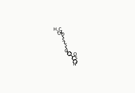 C=CC(=O)OCCSCCSCCOc1ccc(-c2cc3cnccc3sc2=O)cc1